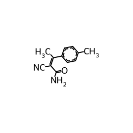 CC(=C(C#N)C(N)=O)c1ccc(C)cc1